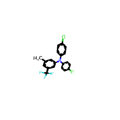 Cc1cc(N(c2ccc(Cl)cc2)c2ccc(Cl)cc2)cc(C(F)(F)F)c1